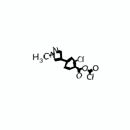 Cn1cc(-c2ccc(C(=O)OC(=O)Cl)c(Cl)c2)cn1